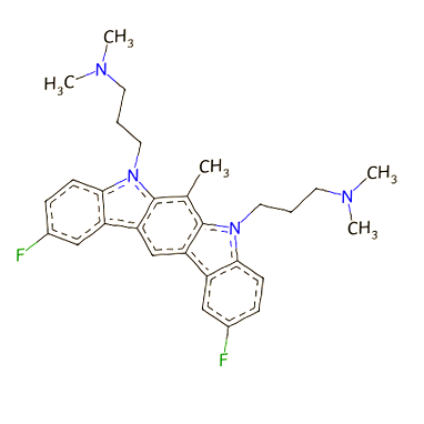 Cc1c2c(cc3c4cc(F)ccc4n(CCCN(C)C)c13)c1cc(F)ccc1n2CCCN(C)C